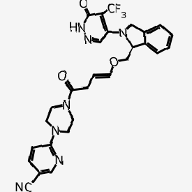 N#Cc1ccc(N2CCN(C(=O)CC=COC[C@@H]3c4ccccc4CN3c3cn[nH]c(=O)c3C(F)(F)F)CC2)nc1